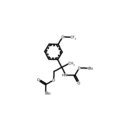 CC(C)(C)OC(=O)NC(C)(COC(=O)C(C)(C)C)c1cccc(OC(F)(F)F)c1